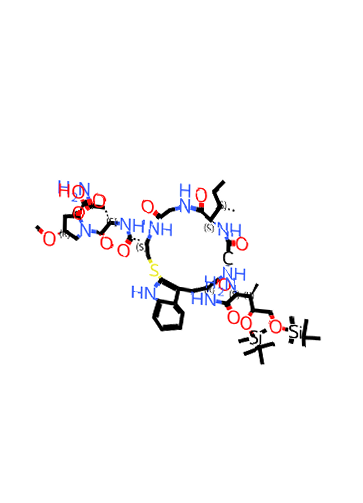 CC[C@H](C)[C@@H]1NC(=O)CNC(=O)[C@H](NC(=O)[C@@H](N)[C@@H](C)C(CO[Si](C)(C)C(C)(C)C)O[Si](C)(C)C(C)(C)C)Cc2c([nH]c3ccccc23)SC[C@H](C(=O)N[C@@H](CC(N)=O)C(=O)N2C[C@H](OC)C[C@H]2C(=O)O)NC(=O)CNC1=O